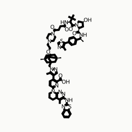 Cc1ncsc1-c1ccc([C@H](C)NC(=O)[C@@H]2C[C@@H](O)CN2C(=O)[C@@H](NC(=O)CCC(=O)N2CCN(CCOC34CC5(Cn6ncc(-c7ccc(N8CCCc9c8nnc(Nc8nc%10ccccc%10s8)c9C)nc7C(=O)O)c6C)C[C@@](C)(C3)C[C@](C)(C5)C4)CC2)C(C)(C)C)cc1